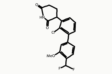 COc1cc(-c2cccc(C3CCC(=O)NC3=O)c2Cl)ccc1C(F)F